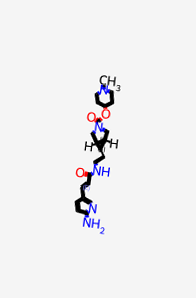 CN1CCC(OC(=O)N2C[C@@H]3[C@@H](CCNC(=O)/C=C/c4ccc(N)nc4)[C@@H]3C2)CC1